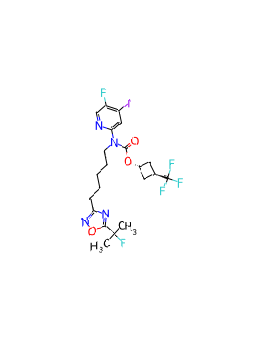 CC(C)(F)c1nc(CCCCCN(C(=O)O[C@H]2C[C@H](C(F)(F)F)C2)c2cc(I)c(F)cn2)no1